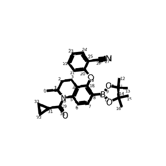 CC1CCc2c(ccc(B3OC(C)(C)C(C)(C)O3)c2Oc2ccccc2C#N)N1C(=O)C1CC1